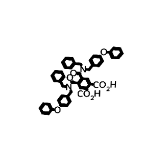 O=C(O)c1cc(C(=O)N(Cc2ccccc2)Cc2ccc(Oc3ccccc3)cc2)c(C(=O)N(Cc2ccccc2)Cc2ccc(Oc3ccccc3)cc2)cc1C(=O)O